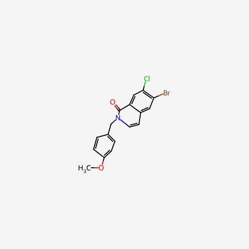 COc1ccc(Cn2ccc3cc(Br)c(Cl)cc3c2=O)cc1